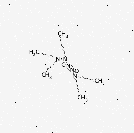 CCCCCCCCCCCN(CCN(CCCCCCCCC)CCCCCCCCC)CC(=O)N1CCN(C(=O)CN(CCCCCCCCC)CCCCCCCCC)CC1